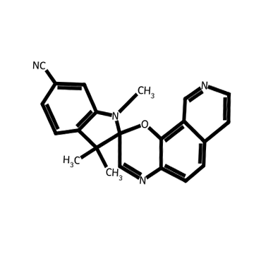 CN1c2cc(C#N)ccc2C(C)(C)C12C=Nc1ccc3ccncc3c1O2